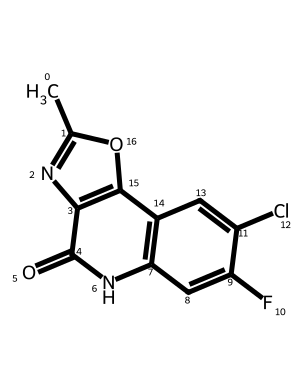 Cc1nc2c(=O)[nH]c3cc(F)c(Cl)cc3c2o1